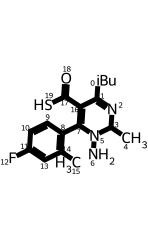 CCC(C)C1=NC(C)N(N)C(c2ccc(F)cc2C)=C1C(=O)S